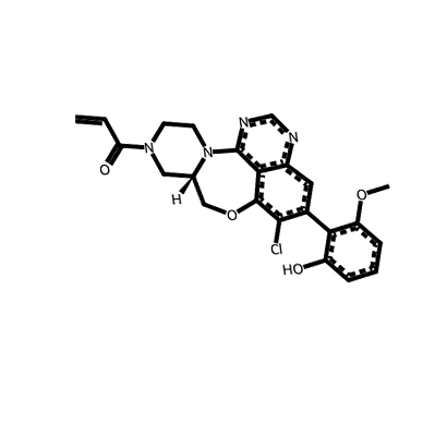 C=CC(=O)N1CCN2c3ncnc4cc(-c5c(O)cccc5OC)c(Cl)c(c34)OC[C@@H]2C1